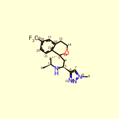 C[C@H]1C[C@@]2(C[C@@H](c3cn(C)nn3)N1)OCCc1cc(C(F)(F)F)ccc12